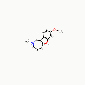 COc1ccc2c3c(oc2c1)CCCN(C)C3